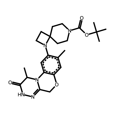 Cc1cc2c(cc1N1CCC13CCN(C(=O)OC(C)(C)C)CC3)N1C(=NNC(=O)C1C)CO2